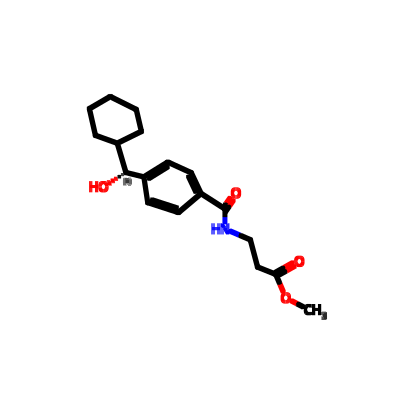 COC(=O)CCNC(=O)c1ccc([C@H](O)C2CCCCC2)cc1